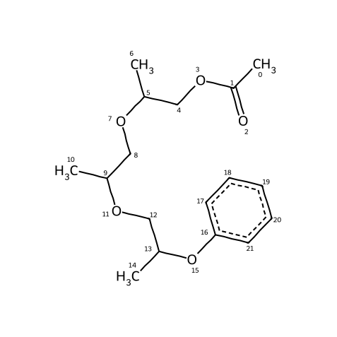 CC(=O)OCC(C)OCC(C)OCC(C)Oc1ccccc1